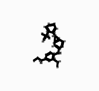 CCNc1ccc(Nc2ncc3c(n2)N3c2ccccc2P(C)(C)=O)c(OC)c1